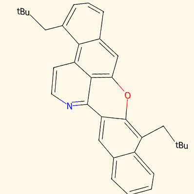 CC(C)(C)Cc1c2c(cc3ccccc13)-c1nccc3c1c(cc1cccc(CC(C)(C)C)c13)O2